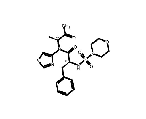 C[C@@H](C(N)=O)N(C(=O)[C@H](Cc1ccccc1)NS(=O)(=O)N1CCOCC1)c1cscn1